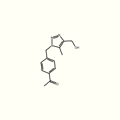 CC(=O)c1ccc(Cn2nnc(CO)c2C)cc1